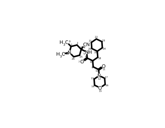 CC1CC(C#N)(NC(=O)C(CC(=O)N2CCOCC2)CC2CCCCC2)CCN1C